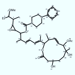 CCC(OC)C(C)C1OC1C(OC(=O)N1CCN(c2ccncc2)CC1)C(C)/C=C/C=C(\C)C1OC(=O)CC(O)CCC(C)(O)C(OC(C)=O)/C=C/C1C